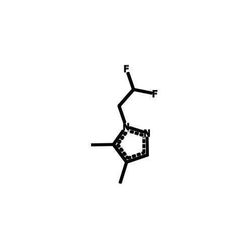 Cc1cnn(CC(F)F)c1C